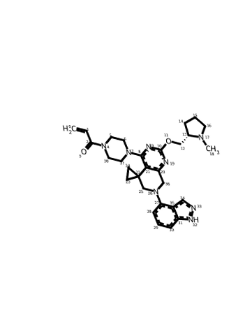 C=CC(=O)N1CCN(c2nc(OC[C@@H]3CCCN3C)nc3c2C2(CC2)CN(c2cccc4[nH]ncc24)C3)CC1